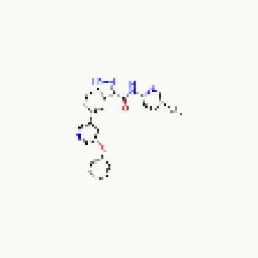 O=C(Nc1ccc(C(F)(F)F)cn1)c1n[nH]c2ccc(-c3cncc(Oc4ccccc4)c3)cc12